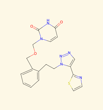 O=c1ccn(COCc2ccccc2CCn2nncc2-c2nccs2)c(=O)[nH]1